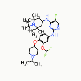 [2H]C([2H])([2H])N1C(C)(C)CC(Nc2nc(Nc3ccc(OC4CCN(C(C)C)CC4)c(OC(F)F)c3)ncc2F)CC1(C)C